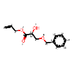 C=CCOC(=O)[C@@H](O)COCc1ccccc1